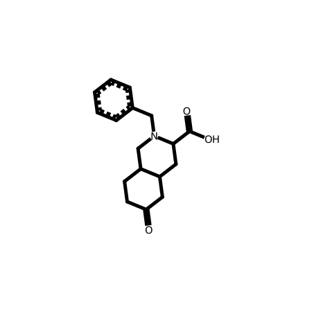 O=C1CCC2CN(Cc3ccccc3)C(C(=O)O)CC2C1